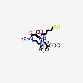 C=C(C[N+](C)(C)CCCN(CCC)C(=O)C(C)=CNC(=O)CCCCS)C(=O)[O-]